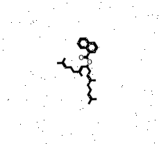 CC(C)=CCC/C(C)=C/CC(/C=C(\C)CCC=C(C)C)OC(=O)c1c[c]cc2ccccc12